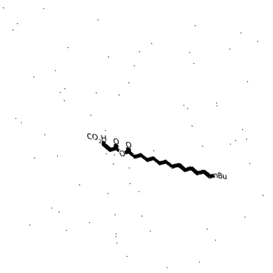 CCCCC=CC=CC=CCCCCCCCC(=O)OC(=O)/C=C\C(=O)O